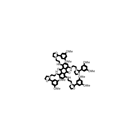 COc1cc(OC)cc(C2OCCN2CCNc2ccc(NCCN3CCOC3c3cc(OC)cc(OC)c3)c3c2C(=O)c2c(NCCN4CCOC4c4cc(OC)cc(OC)c4)ccc(NCCN4CCOC4c4cc(OC)cc(OC)c4)c2C3=O)c1